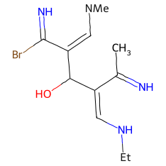 CCN/C=C(\C(C)=N)C(O)/C(=C/NC)C(=N)Br